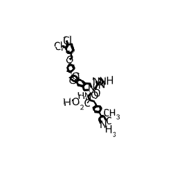 Cc1nccc(-c2ccc(C[C@H](NC(=O)[C@@H]3Cc4cc5c(cc4CN3C(=O)c3nc[nH]n3)O[C@@H](c3ccc(OCc4ccc(Cl)c(Cl)c4)cc3)CO5)C(=O)O)cc2)c1C